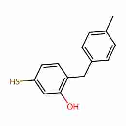 Cc1ccc(Cc2ccc(S)cc2O)cc1